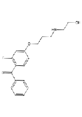 O=C(c1ccccc1)c1ccc(OCCCNCCO)cc1F